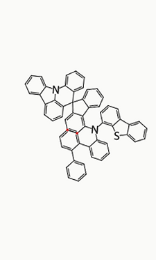 c1ccc(-c2ccccc2-c2ccccc2N(c2cccc3c2-c2ccccc2C32c3ccccc3-n3c4ccccc4c4cccc2c43)c2cccc3c2sc2ccccc23)cc1